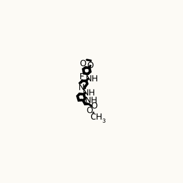 CCOC(=O)c1cc2cccc(Nc3cc(Nc4ccc5c(c4)OCCO5)c(F)cn3)c2[nH]1